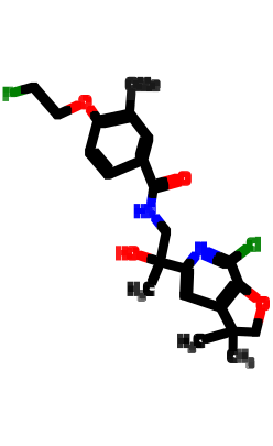 COc1cc(C(=O)NCC(C)(O)c2cc3c(c(Cl)n2)OCC3(C)C)ccc1OCCF